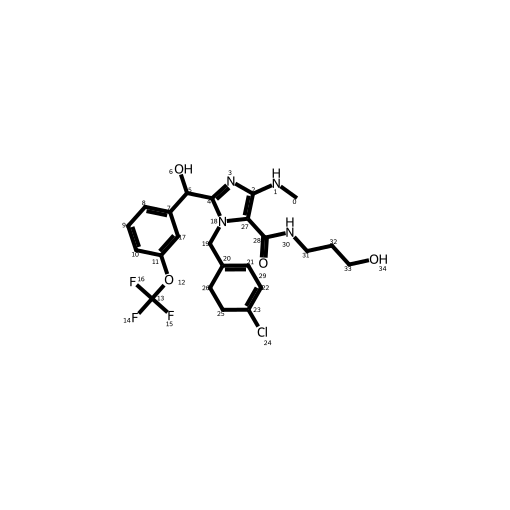 CNc1nc(C(O)c2cccc(OC(F)(F)F)c2)n(CC2=CC=C(Cl)CC2)c1C(=O)NCCCO